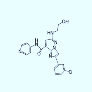 O=C(Nc1ccncc1)c1cc(NCCO)nn2cc(-c3cccc(Cl)c3)nc12